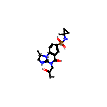 CNC(=O)CN1C(=O)c2cc(S(=O)(=O)NC3(C)CC3)ccc2N2C1=NC[C@H]2C